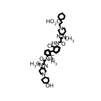 Cc1c(NC(=O)c2nc3c(n2C)CCN([C@H]2CC[C@H](O)CC2)C3)cccc1-c1cccc(NC(=O)c2nc3c(n2C)CCN(CCC2(C(=O)O)CCCCC2)C3)c1Cl